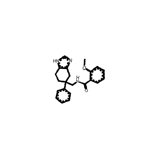 COc1ccccc1C(=O)NCC1(c2ccccc2)CCc2[nH]cnc2C1